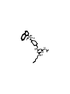 CCCCCNc1nc(NCC2CCC(CNS(=O)(=O)c3cccc4ccccc34)CC2)nc(NC(C)C)n1